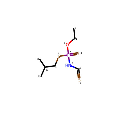 CCOP(=S)(NC=S)SCC(C)C